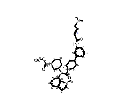 CN(C)C/C=C/C(=O)Nc1cccc(C2CCN(C(=O)N(c3nccc4ccn(C)c34)[C@@H]3CCCN(C(=O)OC(C)(C)C)C3)CC2)c1